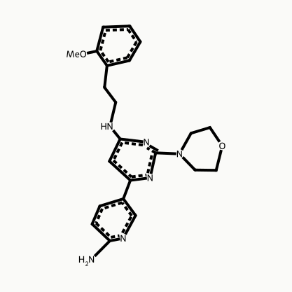 COc1ccccc1CCNc1cc(-c2ccc(N)nc2)nc(N2CCOCC2)n1